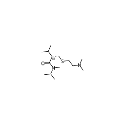 CC(C)[C@H](CSCCN(C)C)C(=O)N(C)C(C)C